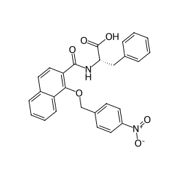 O=C(N[C@@H](Cc1ccccc1)C(=O)O)c1ccc2ccccc2c1OCc1ccc([N+](=O)[O-])cc1